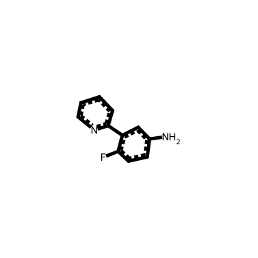 Nc1ccc(F)c(-c2ccccn2)c1